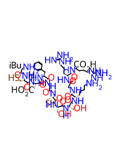 CC[C@H](C)[C@H](N)C(=O)N[C@@H](CS)C(=O)N[C@@H](CC(=O)O)C(=O)N[C@@H](Cc1ccccc1)C(=O)NCC(=O)N[C@@H](CS)C(=O)N[C@@H](CO)C(=O)N[C@@H](CO)C(=O)N[C@@H](CCCCN)C(=O)NCC(=O)N[C@@H](CCCNC(=N)N)C(=O)N[C@@H](CCCNC(=N)N)C(=O)O